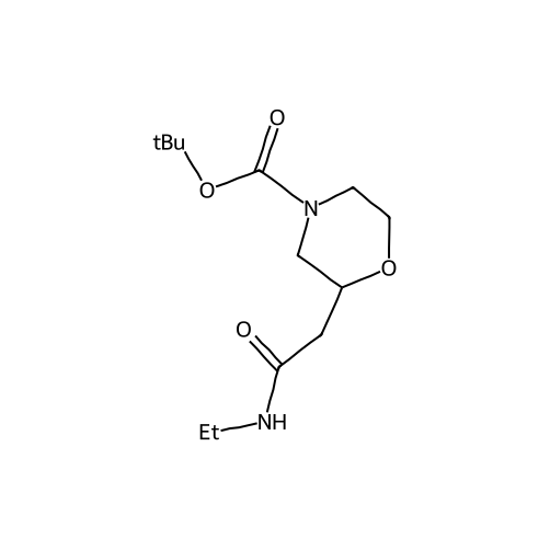 CCNC(=O)CC1CN(C(=O)OC(C)(C)C)CCO1